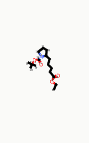 CCOC(=O)CCCCC1CCCN1C(=O)OC(C)(C)C